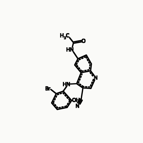 CC(=O)Nc1ccc2ncc(C#N)c(Nc3c(O)cccc3Br)c2c1